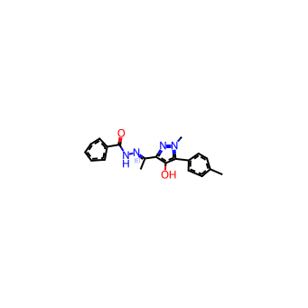 C/C(=N\NC(=O)c1ccccc1)c1nn(C)c(-c2ccc(C)cc2)c1O